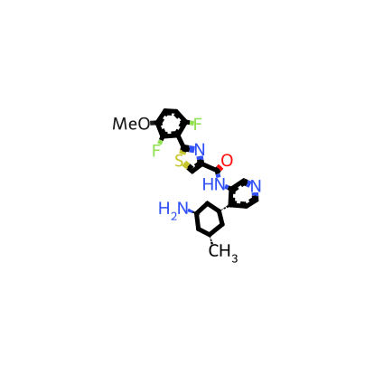 COc1ccc(F)c(-c2nc(C(=O)Nc3cnccc3[C@@H]3C[C@H](C)C[C@@H](N)C3)cs2)c1F